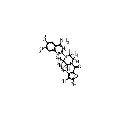 [2H]c1oc(C(=O)N2C([2H])([2H])C([2H])([2H])N(c3nc(N)c4cc(OC)c(OC)cc4n3)C([2H])([2H])C2([2H])[2H])c([2H])c1[2H]